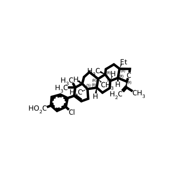 C=C(C)[C@@H]1CC[C@]2(CC)CC[C@]3(C)[C@H](CC[C@@H]4[C@@]5(C)CC=C(c6ccc(C(=O)O)cc6Cl)C(C)(C)[C@@H]5CC[C@]43C)[C@@H]12